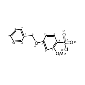 COc1cc(OCc2ccccc2)ccc1S(=O)(=O)Cl